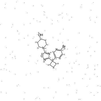 OC1CCN(c2nc(C3(c4ccc(Br)cc4)CCC3)no2)CC1